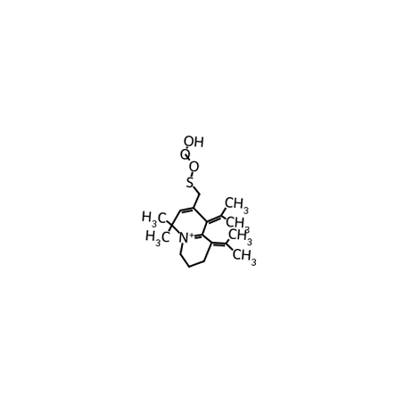 CC(C)=C1CCC[N+]2=C1C(=C(C)C)C(CSOOO)=CC2(C)C